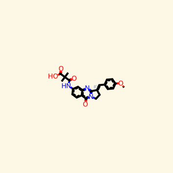 COc1ccc(/C=C2\CCn3c2nc2cc(NC(=O)C(C)(C)C(=O)O)ccc2c3=O)cc1